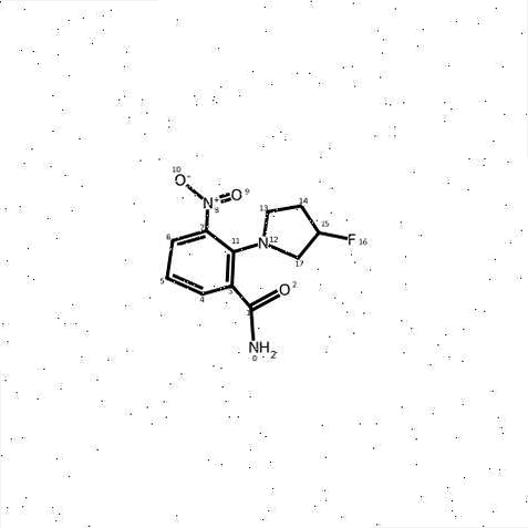 NC(=O)c1cccc([N+](=O)[O-])c1N1CCC(F)C1